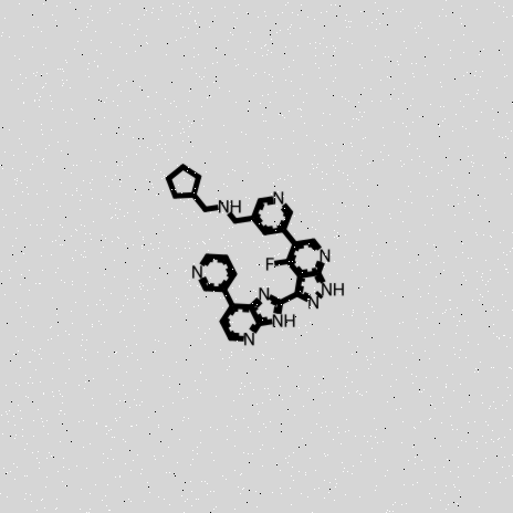 Fc1c(-c2cncc(CNCC3CCCC3)c2)cnc2[nH]nc(-c3nc4c(-c5cccnc5)ccnc4[nH]3)c12